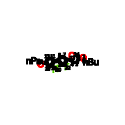 CCCCOC1CCC(c2ccc(-c3ccc(OCCC)cc3F)c(F)c2F)OC1